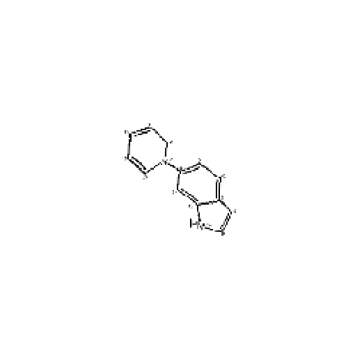 C1=CCN(c2ccc3cc[nH]c3c2)C=C1